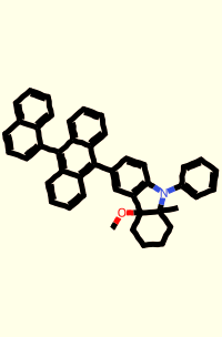 COC12CCCCC1(C)N(c1ccccc1)c1ccc(-c3c4ccccc4c(-c4cccc5ccccc45)c4ccccc34)cc12